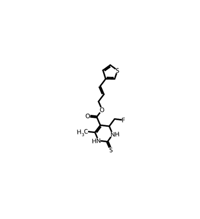 CC1=C(C(=O)OCC=Cc2ccsc2)C(CF)NC(=S)N1